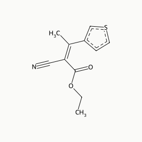 CCOC(=O)C(C#N)=C(C)c1ccsc1